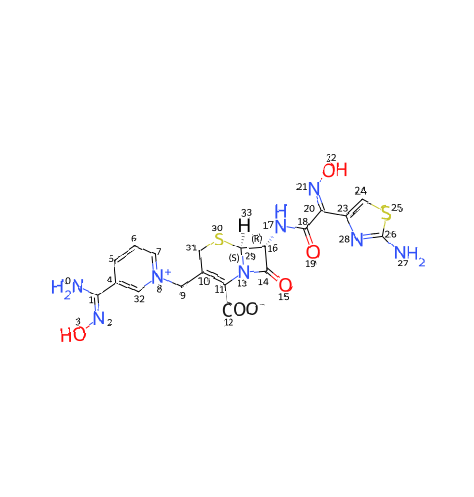 NC(=NO)c1ccc[n+](CC2=C(C(=O)[O-])N3C(=O)[C@@H](NC(=O)C(=NO)c4csc(N)n4)[C@@H]3SC2)c1